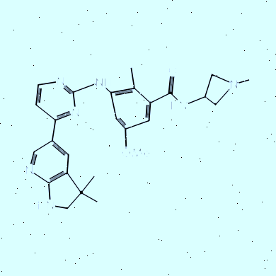 COc1cc(Nc2nccc(-c3cnc4c(c3)C(C)(C)CN4)n2)c(C)c(C(=O)NC2CN(C)C2)c1